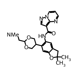 CNCC1OCC(c2cc3c(cc2NC(=O)c2cnn4cccnc24)CC(C)(C)O3)CO1